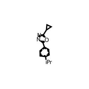 CC(C)c1ccc(-c2nnc(C3CC3)o2)cc1